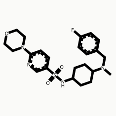 CN(Cc1ccc(F)cc1)C1CCC(NS(=O)(=O)c2ccc(N3CCOCC3)nc2)CC1